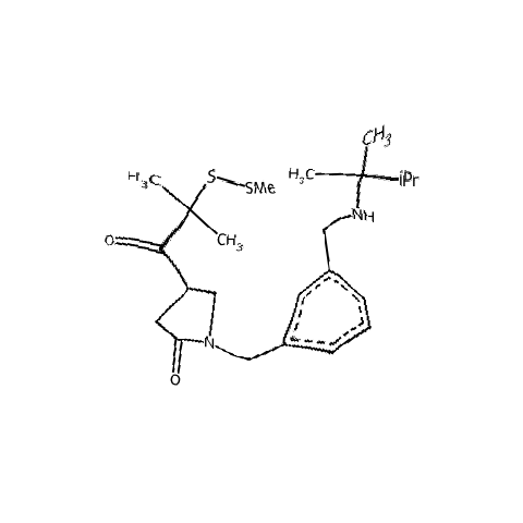 CSSC(C)(C)C(=O)C1CC(=O)N(Cc2cccc(CNC(C)(C)C(C)C)c2)C1